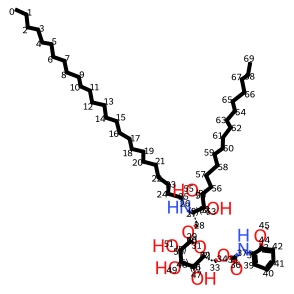 CCCCCCCCCCCCCCCCCCCCCCCCCCN[C@@H](CO[C@@H]1O[C@H](COC(=O)Nc2ccccc2OC)[C@H](O)[C@H](O)[C@H]1O)[C@H](O)[C@H](O)CCCCCCCCCCCCCC